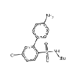 CC(C)(C)NS(=O)(=O)c1ccc(Cl)cc1-c1ccc(N)cc1